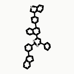 c1ccc(-c2cc(-c3ccc(-c4ccc(-c5cncc6ccccc56)cc4)c4ccccc34)nc(-c3cccc(-c4ccc5ccccc5c4)c3)n2)cc1